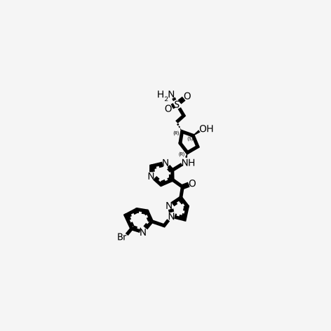 NS(=O)(=O)CC[C@H]1C[C@@H](Nc2ncncc2C(=O)c2ccn(Cc3cccc(Br)n3)n2)C[C@@H]1O